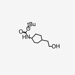 CC(C)(C)OC(=O)NC1CCC(CCO)CC1